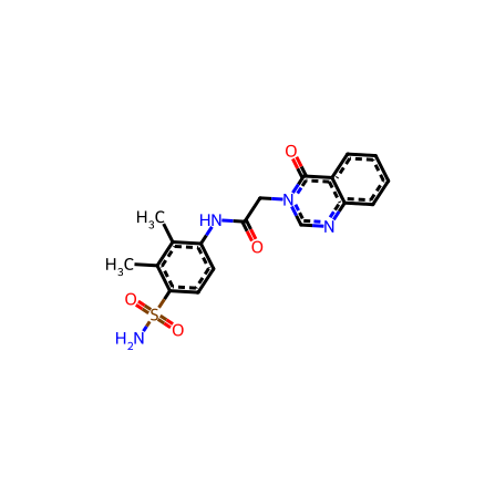 Cc1c(NC(=O)Cn2cnc3ccccc3c2=O)ccc(S(N)(=O)=O)c1C